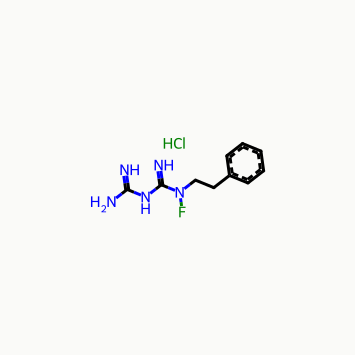 Cl.N=C(N)NC(=N)N(F)CCc1ccccc1